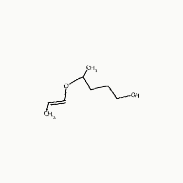 CC=COC(C)CCCO